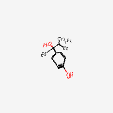 CCOC(=O)C(CC)C(O)(CC)c1ccc(O)cc1